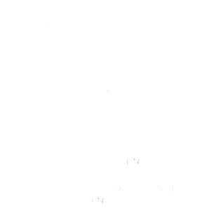 Cc1cc(CN[C@H](CO)C(=O)O)c(OCc2cccc(C#N)c2)cc1OCc1cccc(-c2cccc3c2OCCO3)c1C